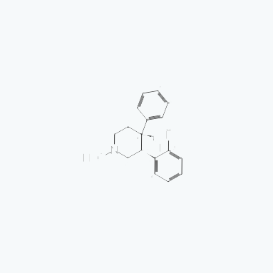 CN1CC[C@](O)(c2ccccc2)[C@@H](c2ccccc2F)C1